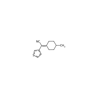 CC1CCC(=C(C#N)c2ccsc2)CC1